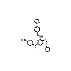 NC1CCC(Nc2nc(NCc3ccc(-c4cccs4)nc3)c3ncn(C4CCCC4)c3n2)CC1